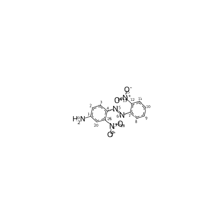 Nc1ccc(N=Nc2ccccc2[N+](=O)[O-])c([N+](=O)[O-])c1